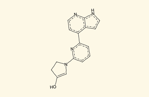 OC1=CN(c2cccc(-c3ccnc4[nH]ccc34)n2)CC1